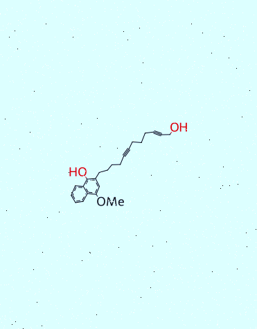 COc1cc(CCCCC#CCCCC#CCO)c(O)c2ccccc12